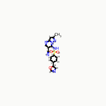 Cc1cc2ncc(C#N)c(NS(=O)(=O)c3ccc(-c4cnco4)cc3)n2n1